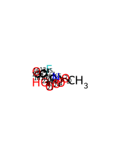 CCOC(=O)CN1C[C@@H](c2cc3c(cc2F)OCC3)[C@H](C(=O)O)C1=O